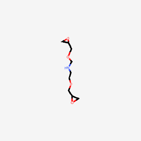 C(COCC1CO1)NCOCC1CO1